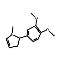 COc1ccc(C2CC=CN2C)cc1OC